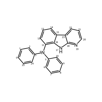 c1ccc(N(c2ccccc2)c2cccc3c2[nH]c2ncccc23)cc1